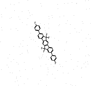 Fc1ccc(-c2ccc3c(c2)C(F)(F)c2cc4c(cc2-3)C(F)(F)c2cc(-c3ccc(F)cc3)ccc2-4)cc1